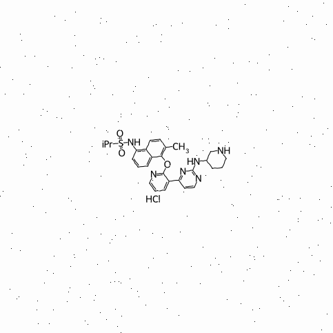 Cc1ccc2c(NS(=O)(=O)C(C)C)cccc2c1Oc1ncccc1-c1ccnc(NC2CCCNC2)n1.Cl